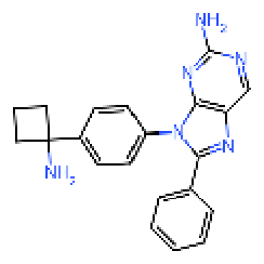 Nc1ncc2nc(-c3ccccc3)n(-c3ccc(C4(N)CCC4)cc3)c2n1